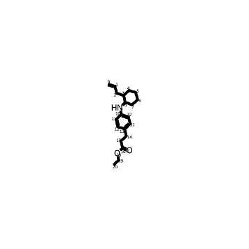 C=CCC1CCCCC1Nc1ccc(CCC(=O)OCC)cc1